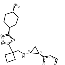 N[C@H]1CC[C@@H](c2nc(C3(CN[C@@H]4C[C@H]4c4ccccc4)CCC3)no2)CC1